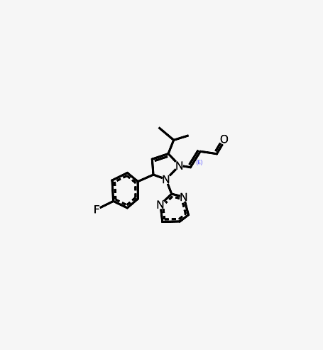 CC(C)C1=CC(c2ccc(F)cc2)N(c2ncccn2)N1/C=C/C=O